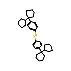 c1cc(C2(C3CCCCC3)CCCCC2)ccc1SSc1ccc(C2(C3CCCCC3)CCCCC2)cc1